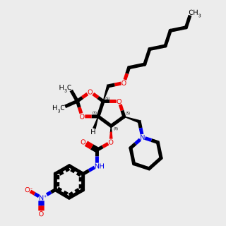 CCCCCCCOC[C@@]12O[C@@H](CN3CCCCC3)[C@@H](OC(=O)Nc3ccc([N+](=O)[O-])cc3)[C@@H]1OC(C)(C)O2